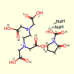 O=C(O)CN(CCN(CC(=O)O)CC(=O)O)CC(=O)O.O=C(O)N1CCCC1=O.[NaH].[NaH]